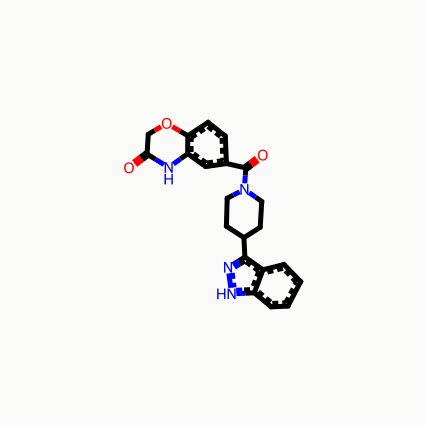 O=C1COc2ccc(C(=O)N3CCC(c4n[nH]c5ccccc45)CC3)cc2N1